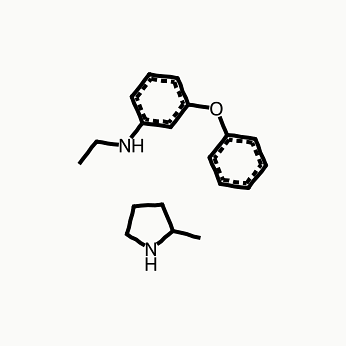 CC1CCCN1.CCNc1cccc(Oc2ccccc2)c1